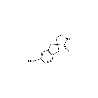 O=C(O)c1ccc2c(c1)CC1(CCNC1=O)C2